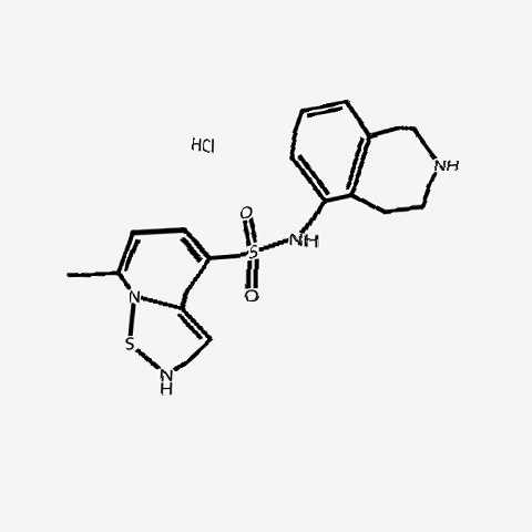 CC1=CC=C(S(=O)(=O)Nc2cccc3c2CCNC3)C2=CNSN12.Cl